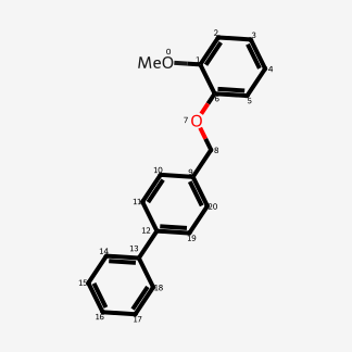 COc1ccccc1OCc1ccc(-c2ccccc2)cc1